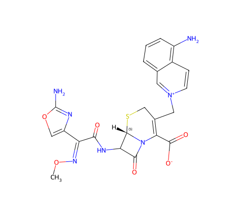 CON=C(C(=O)NC1C(=O)N2C(C(=O)[O-])=C(C[n+]3ccc4c(N)cccc4c3)CS[C@@H]12)c1coc(N)n1